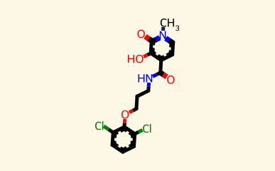 Cn1ccc(C(=O)NCCCOc2c(Cl)cccc2Cl)c(O)c1=O